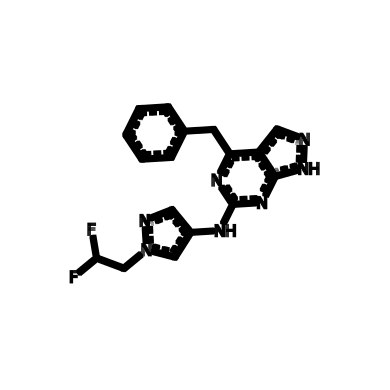 FC(F)Cn1cc(Nc2nc(Cc3ccccc3)c3cn[nH]c3n2)cn1